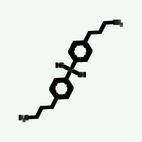 CCCCc1ccc([Si](O)(O)c2ccc(CCCC)cc2)cc1